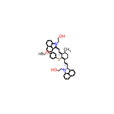 CCCCOc1ccc(SC2=C(/C=C/C3=[N+](CCO)c4cccc5cccc3c45)CCC(C)/C2=C\C=c2/c3cccc4cccc(c43)n2CCO)cc1